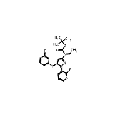 CCN(C(=O)OC(C)(C)C)c1cc(Sc2cccc(F)c2)n(-c2cccnc2F)n1